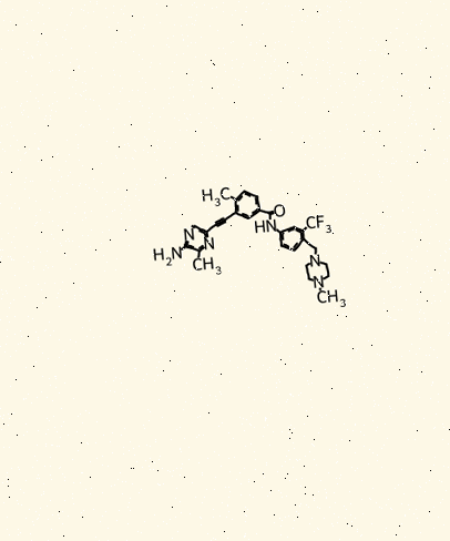 Cc1ccc(C(=O)Nc2ccc(CN3CCN(C)CC3)c(C(F)(F)F)c2)cc1C#Cc1cnc(N)c(C)n1